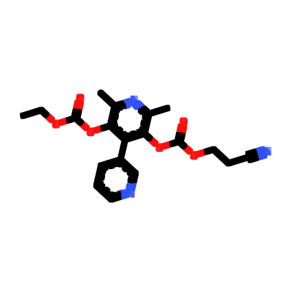 CCOC(=O)Oc1c(C)nc(C)c(OC(=O)OCCC#N)c1-c1cccnc1